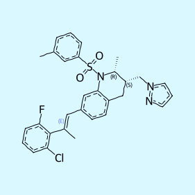 C/C(=C\c1ccc2c(c1)N(S(=O)(=O)c1cccc(C)c1)[C@H](C)[C@H](Cn1cccn1)C2)c1c(F)cccc1Cl